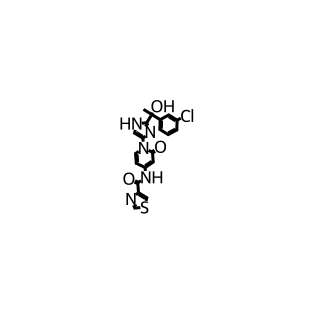 CC(O)(c1cccc(Cl)c1)c1nc(-n2ccc(NC(=O)c3cscn3)cc2=O)c[nH]1